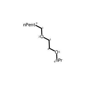 CCCCCCOCCOCCC